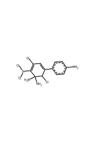 Nc1ccc(C2=CC(Cl)=C(N(Cl)Cl)C(N)(N)C2Cl)cc1